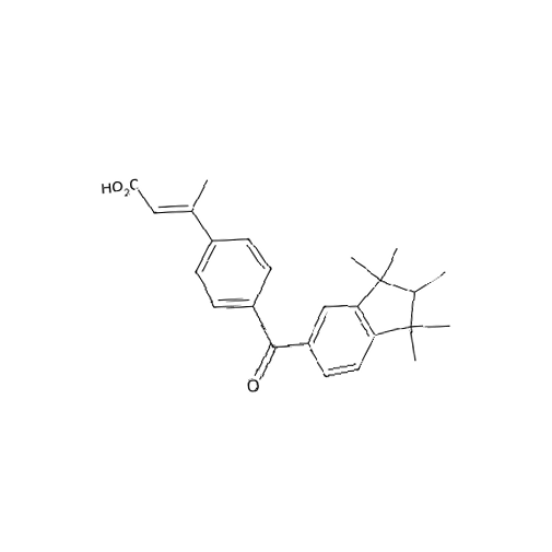 CC(=CC(=O)O)c1ccc(C(=O)c2ccc3c(c2)C(C)(C)C(C)C3(C)C)cc1